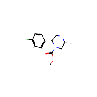 C[C@H]1CN(C(=O)OC(C)(C)C)[C@H](c2ccc(F)cc2)CN1